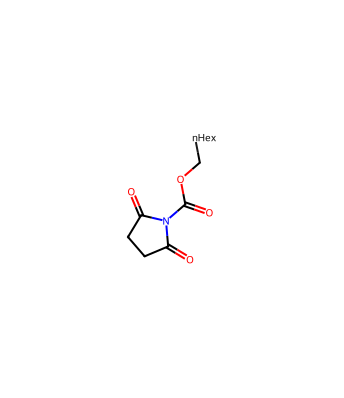 CCCCCCCOC(=O)N1C(=O)CCC1=O